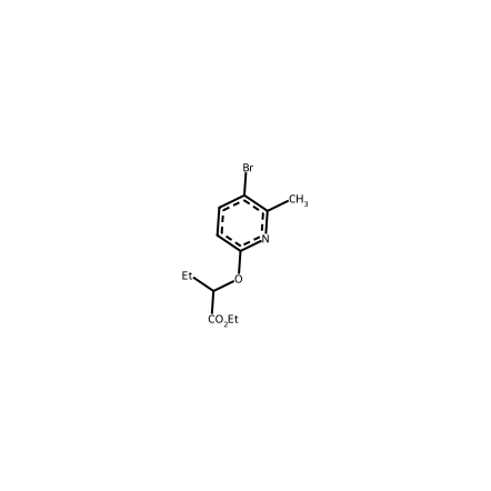 CCOC(=O)C(CC)Oc1ccc(Br)c(C)n1